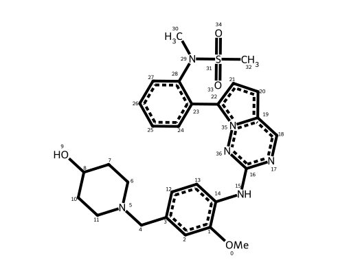 COc1cc(CN2CCC(O)CC2)ccc1Nc1ncc2ccc(-c3ccccc3N(C)S(C)(=O)=O)n2n1